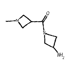 CN1CC(C(=O)N2CC(N)C2)C1